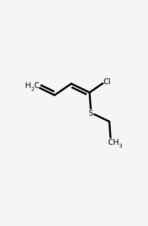 C=C/C=C(/Cl)SCC